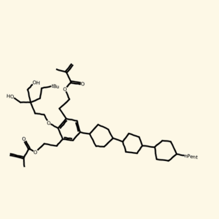 C=C(C)C(=O)OCCc1cc(C2CCC(C3CCC(C4CCC(CCCCC)CC4)CC3)CC2)cc(CCOC(=O)C(=C)C)c1OCCC(CO)(CO)CCC(C)(C)C